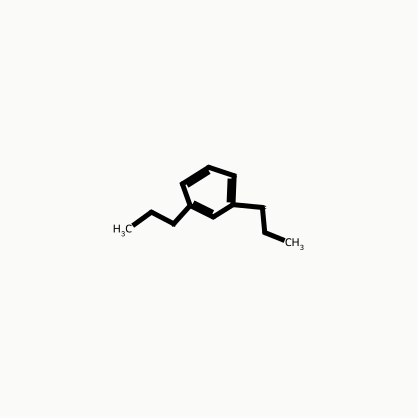 CC[C]c1cccc([C]CC)c1